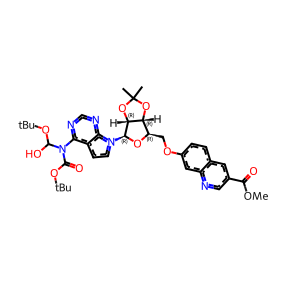 COC(=O)c1cnc2cc(OC[C@H]3O[C@@H](n4ccc5c(N(C(=O)OC(C)(C)C)C(O)OC(C)(C)C)ncnc54)[C@@H]4OC(C)(C)O[C@@H]43)ccc2c1